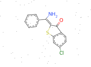 N/C(=C1/Sc2cc(Cl)ccc2C1=O)c1ccccc1